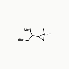 CNC(CC(C)(C)C)C1CC1(C)C